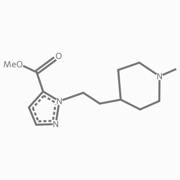 COC(=O)c1ccnn1CCC1CCN(C)CC1